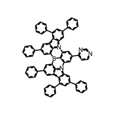 c1ccc(-c2cc3c4c(c2)c2c(-c5ccccc5)cc(-c5ccccc5)cc2n4-c2cc(-c4ccncn4)cc4c2B3c2cc(-c3ccccc3)cc3c5c(-c6ccccc6)cc(-c6ccccc6)cc5n-4c23)cc1